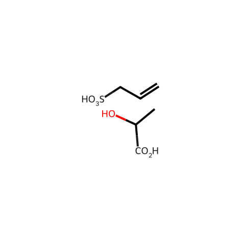 C=CCS(=O)(=O)O.CC(O)C(=O)O